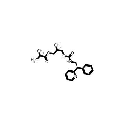 CC(COC(=O)NC[C@@H](c1ccccc1)c1ccccn1)COC(=O)C(C)C